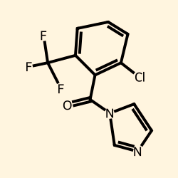 O=C(c1c(Cl)cccc1C(F)(F)F)n1ccnc1